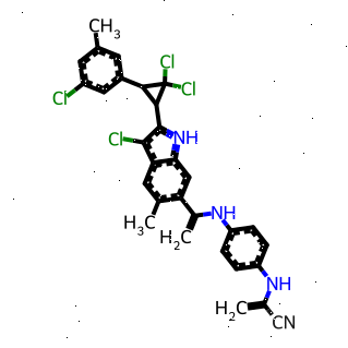 C=C(C#N)Nc1ccc(NC(=C)c2cc3[nH]c(C4C(c5cc(C)cc(Cl)c5)C4(Cl)Cl)c(Cl)c3cc2C)cc1